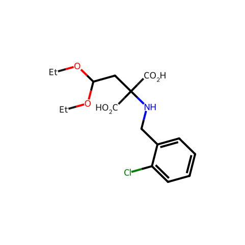 CCOC(CC(NCc1ccccc1Cl)(C(=O)O)C(=O)O)OCC